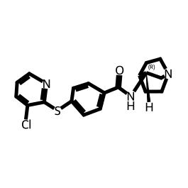 O=C(N[C@H]1CN2CCC1CC2)c1ccc(Sc2ncccc2Cl)cc1